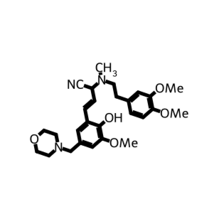 COc1ccc(CCN(C)C(C#N)C=Cc2cc(CN3CCOCC3)cc(OC)c2O)cc1OC